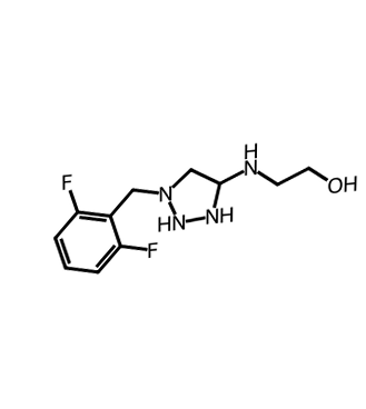 OCCNC1CN(Cc2c(F)cccc2F)NN1